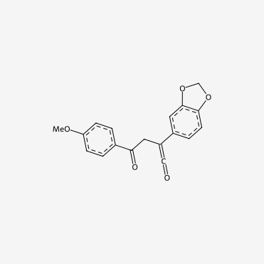 COc1ccc(C(=O)CC(=C=O)c2ccc3c(c2)OCO3)cc1